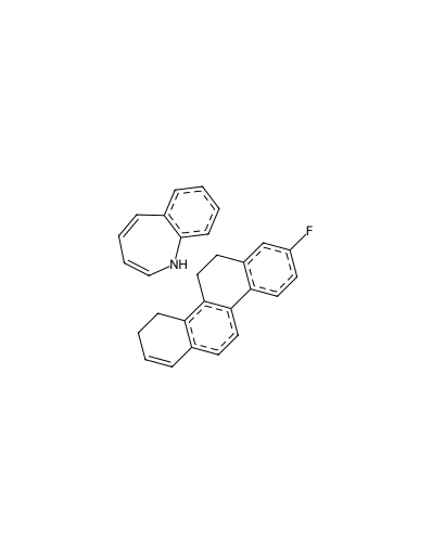 C1=CNc2ccccc2C=C1.Fc1ccc2c(c1)CCc1c-2ccc2c1CCC=C2